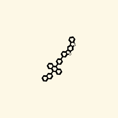 c1ccc2cc(-c3c4ccccc4c(-c4ccc(-c5ccc6c(c5)oc5cc7sc8ccccc8c7cc56)cc4)c4ccccc34)ccc2c1